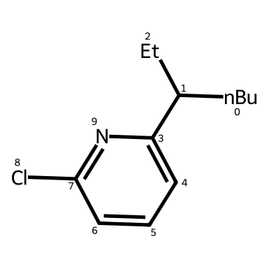 CCCCC(CC)c1cccc(Cl)n1